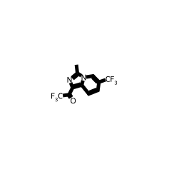 Cc1nc(C(=O)C(F)(F)F)c2ccc(C(F)(F)F)cn12